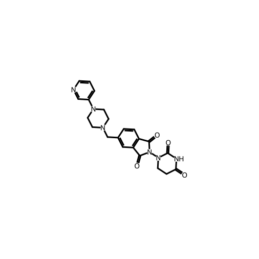 O=C1CCN(N2C(=O)c3ccc(CN4CCN(c5cccnc5)CC4)cc3C2=O)C(=O)N1